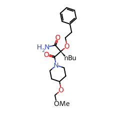 CCCC[C@](OCCc1ccccc1)(C(N)=O)C(=O)N1CCC(OCOC)CC1